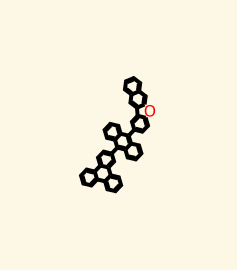 c1ccc2cc3c(cc2c1)oc1ccc(-c2c4ccccc4c(-c4ccc5c6ccccc6c6ccccc6c5c4)c4ccccc24)cc13